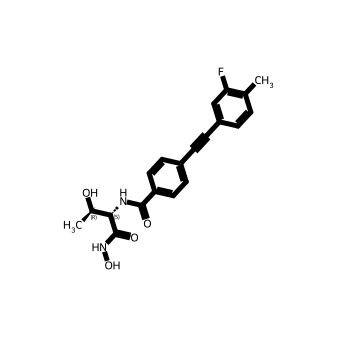 Cc1ccc(C#Cc2ccc(C(=O)N[C@H](C(=O)NO)[C@@H](C)O)cc2)cc1F